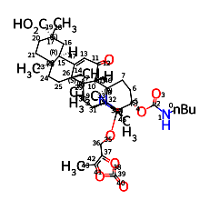 CCCCNC(=O)O[C@H]1CC[C@]2(C)[C@H]3C(=O)C=C4[C@@H]5C[C@@](C)(C(=O)O)CC[C@]5(C)CC[C@@]4(C)[C@]3(C)CC[C@]23N=C(OCc2oc(=O)oc2C)[C@]13C